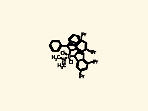 CC(C)c1cc(C(C)C)c2c(c1)[CH]([Ti]([Cl])([Cl])([CH]1C(c3ccccc3)=Cc3c(C(C)C)cc(C(C)C)cc31)[SiH](C)C)C(c1ccccc1)=C2